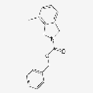 Cc1cccc2c1CN(C(=O)OCc1ccccc1)C2